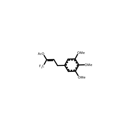 COc1cc(CC=C(OC(C)=O)C(F)(F)F)cc(OC)c1OC